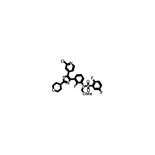 COCN(c1cccc(-c2nc(C3CCOCC3)sc2-c2ccnc(Cl)c2)c1F)S(=O)(=O)c1cc(F)ccc1F